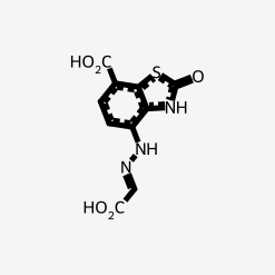 O=C(O)C=NNc1ccc(C(=O)O)c2sc(=O)[nH]c12